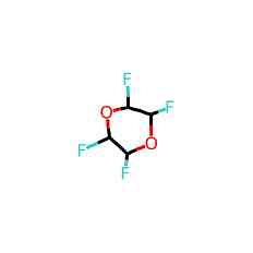 FC1OC(F)C(F)OC1F